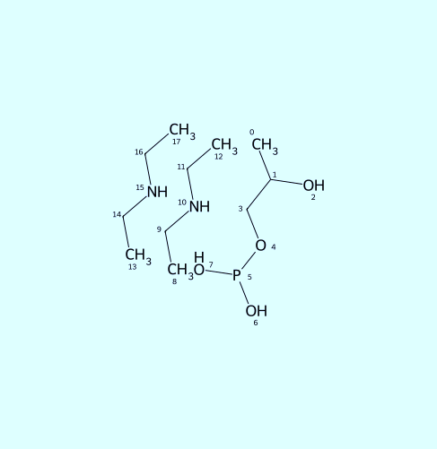 CC(O)COP(O)O.CCNCC.CCNCC